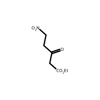 CCOC(=O)CC(=O)CC[N+](=O)[O-]